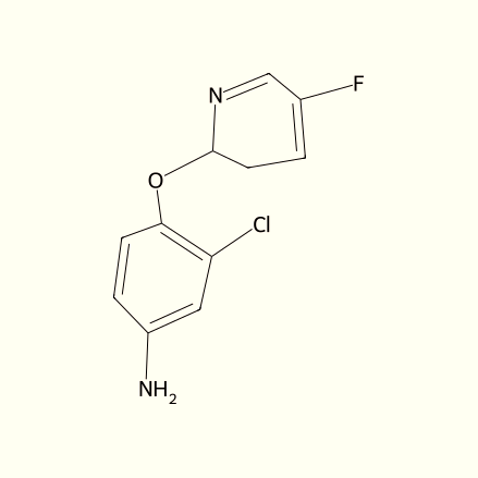 Nc1ccc(OC2CC=C(F)C=N2)c(Cl)c1